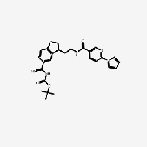 CC(C)(C)OC(=O)NC(=N)c1ccc2c(c1)C(CCNC(=O)c1ccc(-n3cccc3)nc1)CO2